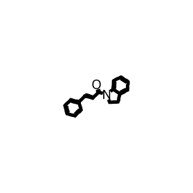 O=C(C=Cc1ccccc1)N1CCc2ccccc21